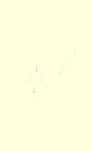 CCCc1cc(O)c(CC=C(C)CCC=C(C)C)c(O)c1C(=O)OC